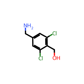 NCc1cc(Cl)c(CO)c(Cl)c1